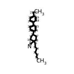 CCCCCCCC1(C#N)CCC(c2ccc(-c3ccc(CC)cc3)cc2)CC1